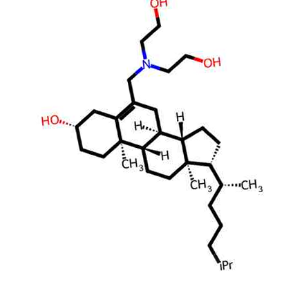 CC(C)CCC[C@@H](C)[C@H]1CC[C@H]2[C@@H]3CC(CN(CCO)CCO)=C4C[C@@H](O)CC[C@]4(C)[C@H]3CC[C@]12C